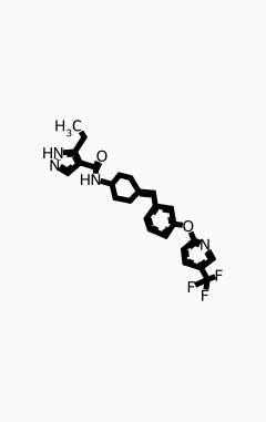 CCc1[nH]ncc1C(=O)NC1CCC(=Cc2cccc(Oc3ccc(C(F)(F)F)cn3)c2)CC1